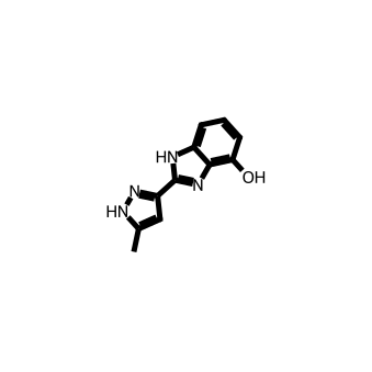 Cc1cc(-c2nc3c(O)cccc3[nH]2)n[nH]1